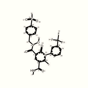 CNC(=O)c1cc(C(=O)N(Cc2ccc(S(C)(=O)=O)cc2)OC)c(=O)n(-c2cccc(C(F)(F)F)c2)c1C